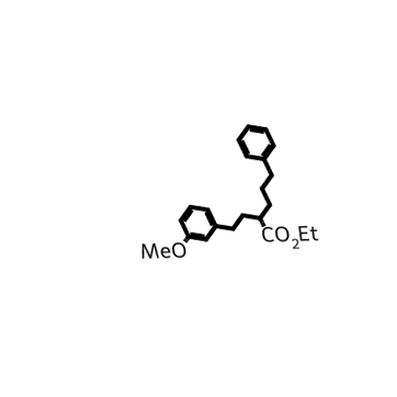 CCOC(=O)C(CCCc1ccccc1)CCc1cccc(OC)c1